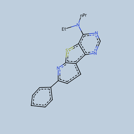 CCCN(CC)c1ncnc2c1sc1nc(-c3ccccc3)ccc12